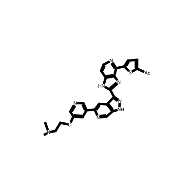 CC(=O)c1ccc(-c2nccc3[nH]c(-c4n[nH]c5cnc(-c6cncc(OCCN(C)C)c6)cc45)nc23)s1